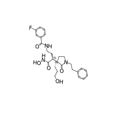 O=C(NCC[C@H](C(=O)NO)[C@@]1(CCCO)CCN(CCc2ccccc2)C1=O)c1cccc(F)c1